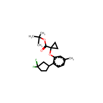 Cc1ccc(C2CCC(F)(F)C2)c(OC2(C(=O)OC(C)(C)C)CC2)c1